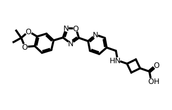 CC1(C)Oc2ccc(-c3noc(-c4ccc(CNC5CC(C(=O)O)C5)cn4)n3)cc2O1